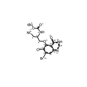 CC(C)(C)OC(=O)NC(CC#N)COc1c(Cl)c(Br)cc2nc[nH]c(=O)c12